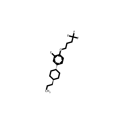 CCC[C@H]1CC[C@H](c2ccc(OCCCC(F)(F)F)c(F)c2)CC1